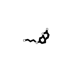 O=c1ccc2ccc(OCCCCl)cc2o1